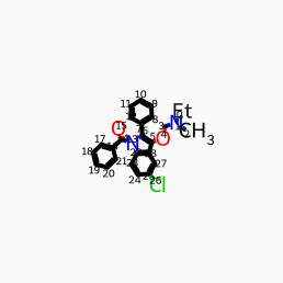 CCN(C)COc1c(-c2ccccc2)n(C(=O)c2ccccc2)c2ccc(Cl)cc12